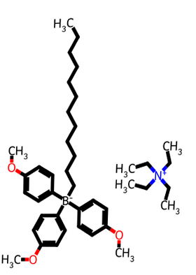 CCCCCCCCCCCC[B-](c1ccc(OC)cc1)(c1ccc(OC)cc1)c1ccc(OC)cc1.CC[N+](CC)(CC)CC